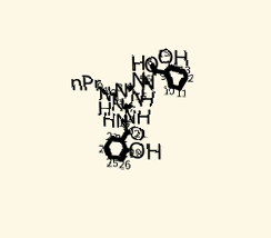 CCCNc1nc(NNC(=O)c2ccccc2O)nc(NNC(=O)c2ccccc2O)n1